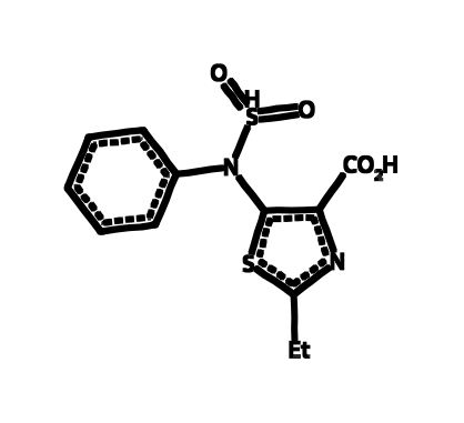 CCc1nc(C(=O)O)c(N(c2ccccc2)[SH](=O)=O)s1